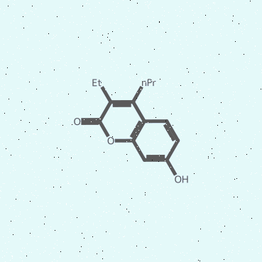 CCCc1c(CC)c(=O)oc2cc(O)ccc12